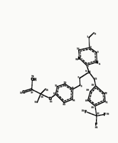 CCc1cnc(N(CCc2ccc(OC(C)(C)C(=O)O)cc2)Cc2ccc(C(F)(F)F)cc2)nc1